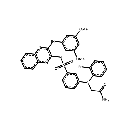 COc1cc(Nc2nc3ccccc3nc2NS(=O)(=O)c2cccc(N(CC(N)=O)c3ccccc3C(C)C)c2)cc(OC)c1